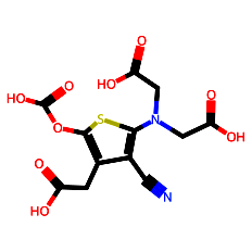 N#Cc1c(N(CC(=O)O)CC(=O)O)sc(OC(=O)O)c1CC(=O)O